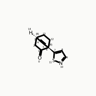 O=C1C[C@@H]2C=C[C@]1(c1ccns1)CC2